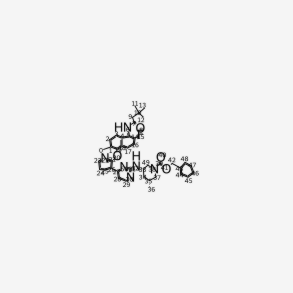 Cc1ccc2c(NC(=O)CC(C)(C)C)c(F)ccc2c1Oc1ncccc1-c1ccnc(N[C@H]2C[C@@H](C)CN(C(=O)OCc3ccccc3)C2)n1